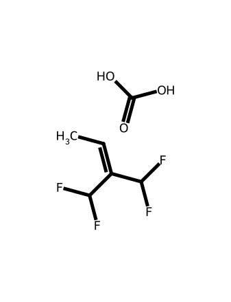 CC=C(C(F)F)C(F)F.O=C(O)O